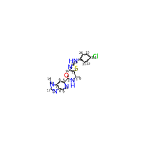 CC(NC(=O)c1cc2c(cn1)ncn2C)c1cnc(Nc2ccc(Cl)cc2)s1